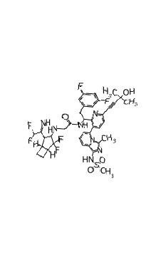 Cc1nc(NS(C)(=O)=O)c2cccc(-c3ccc(C#CC(C)(C)O)nc3[C@H](Cc3cc(F)cc(F)c3)NC(=O)CNC3C(C(=N)C(F)F)[C@H]4CC[C@H]4C3(F)F)n12